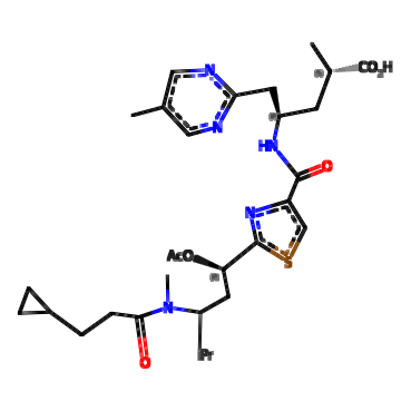 CC(=O)O[C@H](CC(C(C)C)N(C)C(=O)CCC1CC1)c1nc(C(=O)N[C@@H](Cc2ncc(C)cn2)C[C@H](C)C(=O)O)cs1